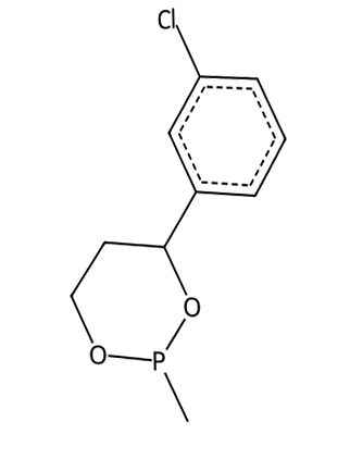 CP1OCCC(c2cccc(Cl)c2)O1